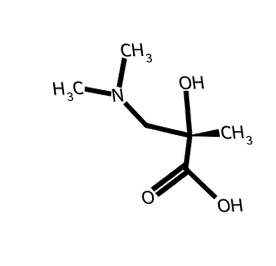 CN(C)C[C@](C)(O)C(=O)O